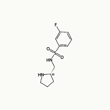 O=S(=O)(NC[C@@H]1CCCN1)c1cccc(F)c1